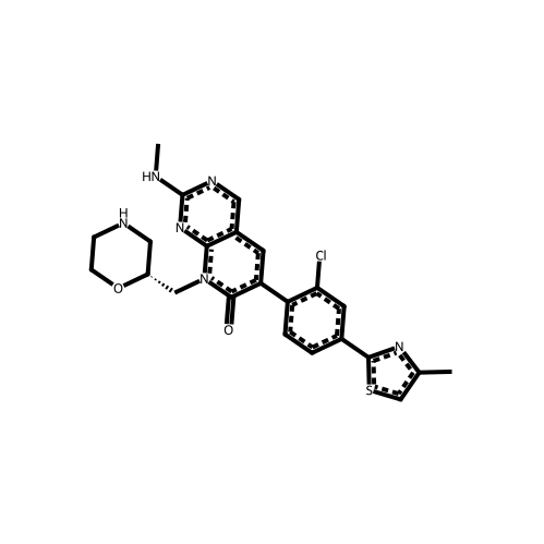 CNc1ncc2cc(-c3ccc(-c4nc(C)cs4)cc3Cl)c(=O)n(C[C@H]3CNCCO3)c2n1